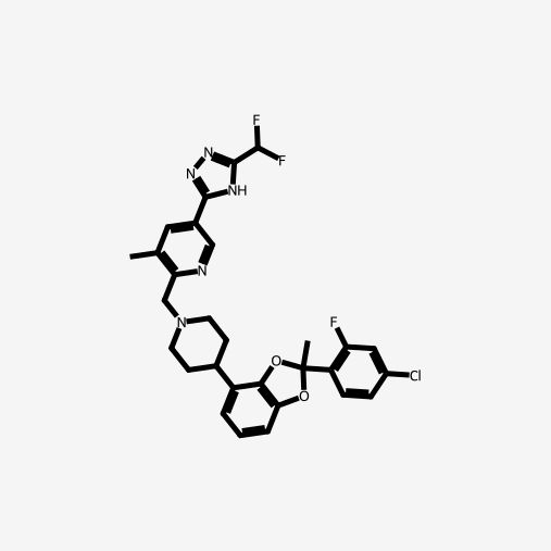 Cc1cc(-c2nnc(C(F)F)[nH]2)cnc1CN1CCC(c2cccc3c2OC(C)(c2ccc(Cl)cc2F)O3)CC1